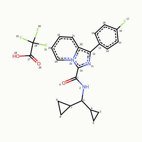 O=C(NC(C1CC1)C1CC1)c1nc(-c2ccc(F)cc2)c2ccccn12.O=C(O)C(F)(F)F